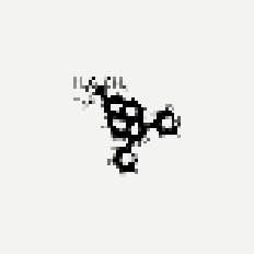 CC(C)(C)c1cc2ccc3c(-c4ccncc4)cc(-c4ccccn4)c4ccc(c1)c2c34